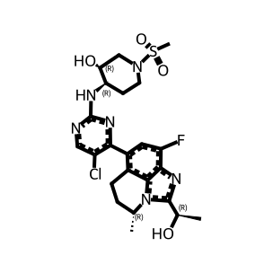 C[C@@H]1CCc2c(-c3nc(N[C@@H]4CCN(S(C)(=O)=O)C[C@H]4O)ncc3Cl)cc(F)c3nc([C@@H](C)O)n1c23